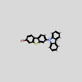 Brc1ccc2c(c1)sc1cc(-n3c4ccccc4c4ccccc43)ccc12